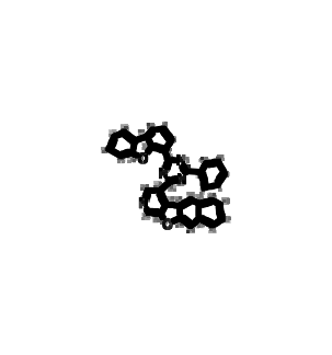 c1ccc(-c2nc(-c3cccc4c3oc3ccccc34)nc(-c3cncc4oc5cc6ccccc6cc5c34)n2)cc1